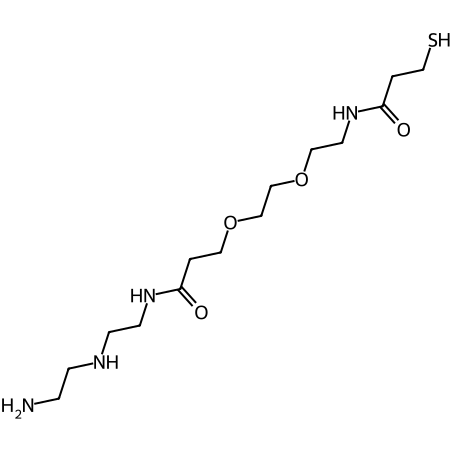 NCCNCCNC(=O)CCOCCOCCNC(=O)CCS